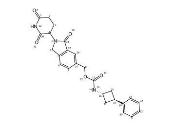 O=C1CCC(N2Cc3ccc(COC(=O)N[C@H]4C[C@H](c5ccccc5)C4)cc3C2=O)C(=O)N1